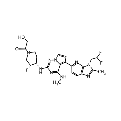 CNc1nc(N[C@H]2CCN(C(=O)CO)C[C@H]2F)nn2ccc(-c3ccc4nc(C)n(CC(F)F)c4n3)c12